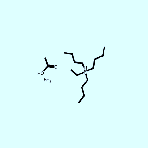 CC(=O)O.CCCC[PH](CC)(CCCC)CCCC.P